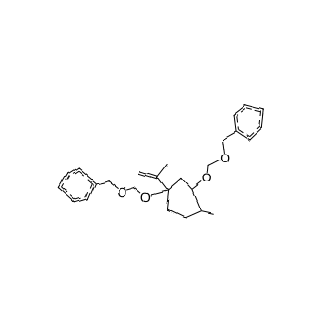 C=C(C)C1(OCOCc2ccccc2)CCC(C)C(OCOCc2ccccc2)C1